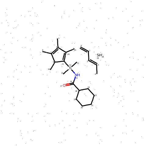 C=CC=CC.CC1=C(C)C(C)[C]([Ti]([CH3])([CH3])[NH]C(=O)C2CCCCC2)=C1C.[SiH4]